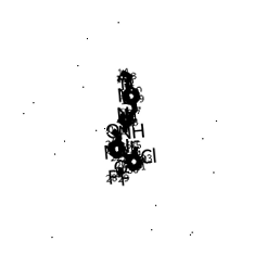 O=C(Nc1cnn(Cc2ccc(N3CCC3)nc2)c1)c1cncc(-c2c(OC(F)F)ccc(Cl)c2F)n1